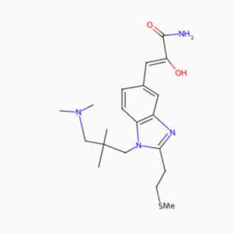 CSCCc1nc2cc(C=C(O)C(N)=O)ccc2n1CC(C)(C)CN(C)C